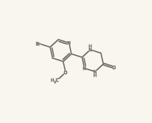 COc1cc(Br)cnc1C1=NNC(=O)CN1